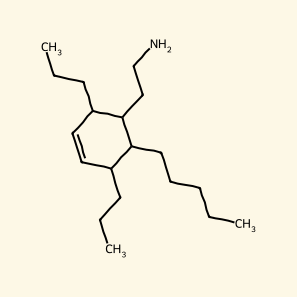 CCCCCC1C(CCC)C=CC(CCC)C1CCN